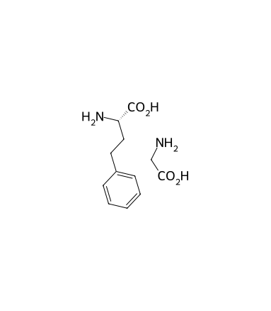 NCC(=O)O.N[C@@H](CCc1ccccc1)C(=O)O